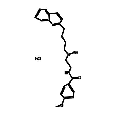 COc1ccc(C(=O)NCCN(S)CCSCc2ccc3ccccc3c2)cc1.Cl